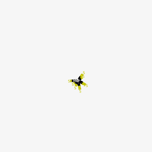 [S]=[Mo](=[S])(=[S])(=[S])(=[S])(=[S])(=[S])=[S]